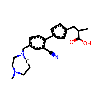 CC(Cc1ccc(-c2ccc(CN3CCCN(C)CC3)cc2C#N)cc1)C(=O)O